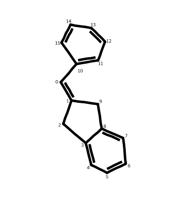 C(=C1Cc2ccccc2C1)c1ccccc1